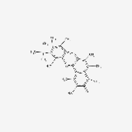 Cc1c(C(C)(C)C)c(C)c2oc3c(cc2c1C)c(C)c(C)c1c(C)c(=O)c(C)c(C)c13